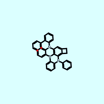 c1ccc(-c2ccccc2N2c3ccccc3B3c4ccccc4N(c4ccccc4)c4c5c(cc2c43)CC5)cc1